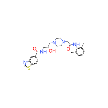 Cc1cccc(C)c1NC(=O)CN1CCN(CC(O)CNC(=O)c2ccc3scnc3c2)CC1